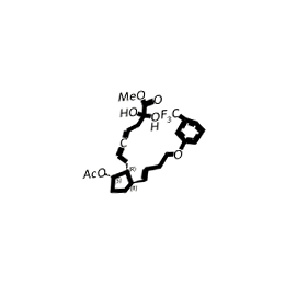 COC(=O)C(O)(O)CC=C=CC[C@H]1[C@@H](OC(C)=O)CC[C@@H]1C=CCCOc1cccc(C(F)(F)F)c1